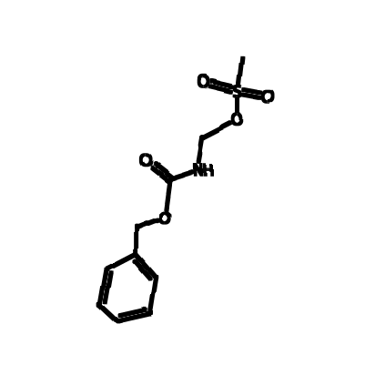 CS(=O)(=O)OCNC(=O)OCc1ccccc1